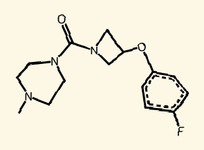 CN1CCN(C(=O)N2CC(Oc3ccc(F)cc3)C2)CC1